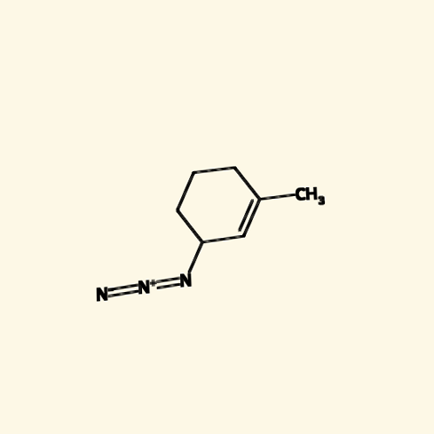 CC1=CC(N=[N+]=[N-])CCC1